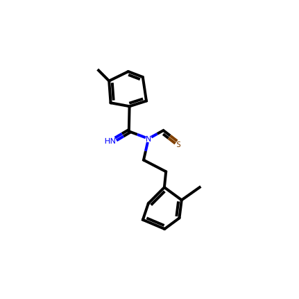 Cc1cccc(C(=N)N(C=S)CCc2ccccc2C)c1